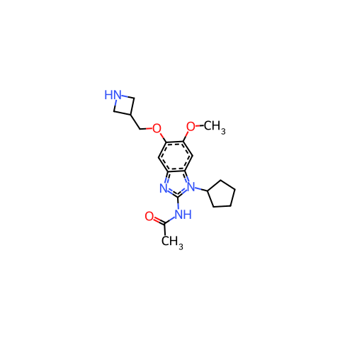 COc1cc2c(cc1OCC1CNC1)nc(NC(C)=O)n2C1CCCC1